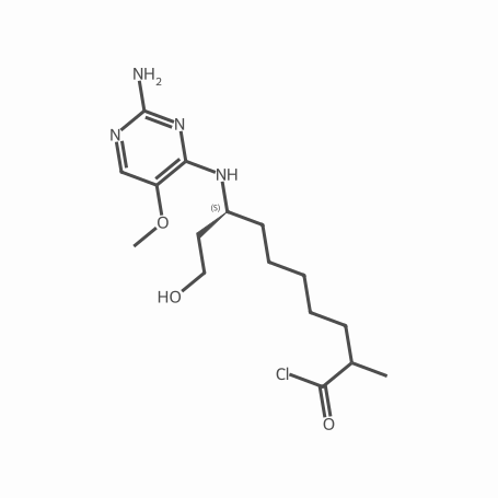 COc1cnc(N)nc1N[C@H](CCO)CCCCCC(C)C(=O)Cl